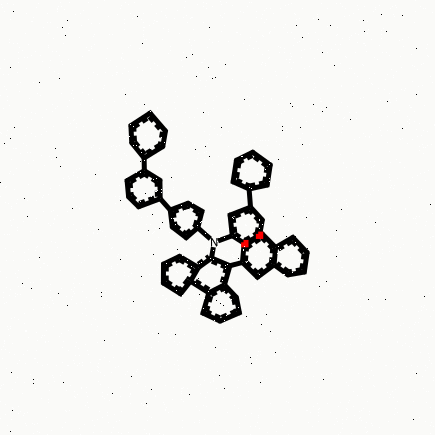 c1ccc(-c2cccc(-c3ccc(N(c4cccc(-c5ccccc5)c4)c4c(-c5ccc6ccccc6c5)c5ccccc5c5ccccc45)cc3)c2)cc1